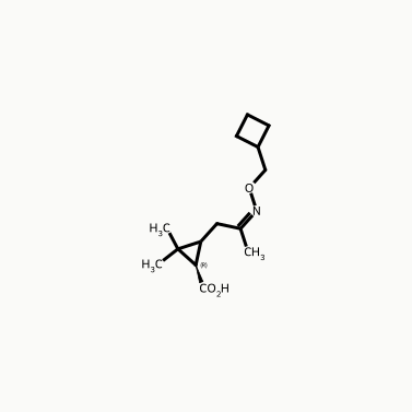 CC(CC1[C@@H](C(=O)O)C1(C)C)=NOCC1CCC1